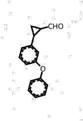 O=CC1CC1c1cccc(Oc2ccccc2)c1